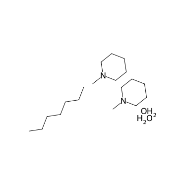 CCCCCCC.CN1CCCCC1.CN1CCCCC1.O.O